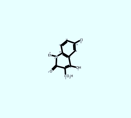 CCn1c(=O)c(C(=O)O)c(O)c2cc(Cl)ccc21